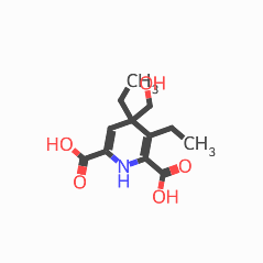 CCC1=C(C(=O)O)NC(C(=O)O)=CC1(CC)CO